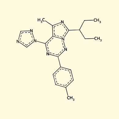 CCC(CC)c1nc(C)c2c(-n3cncn3)nc(-c3ccc(C)cc3)nn12